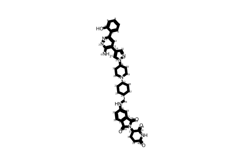 Nc1nnc(-c2ccccc2O)cc1-c1cnn(C2CCN([C@H]3CC[C@@H](CNc4ccc5c(c4)C(=O)N(C4CCC(=O)NC4=O)C5=O)CC3)CC2)c1